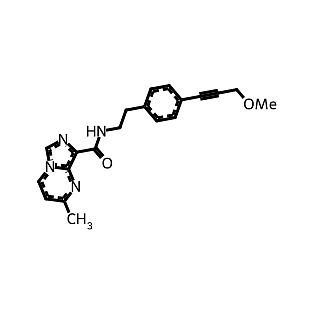 COCC#Cc1ccc(CCNC(=O)c2ncn3ccc(C)nc23)cc1